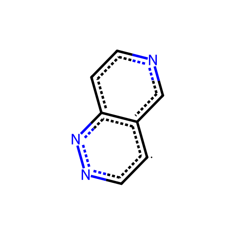 [c]1cnnc2ccncc12